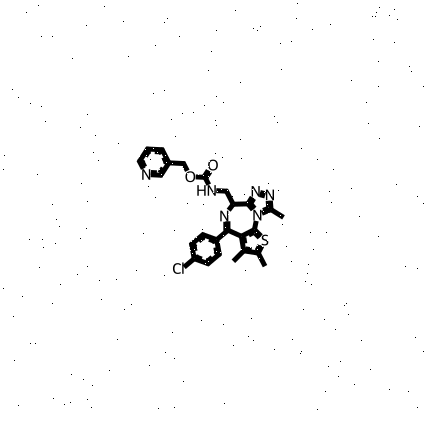 Cc1sc2c(c1C)C(c1ccc(Cl)cc1)=NC(CNC(=O)OCc1cccnc1)c1nnc(C)n1-2